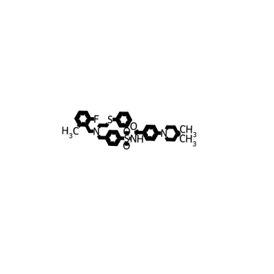 Cc1cccc(F)c1CN(CCSc1ccccc1)Cc1ccc(S(=O)(=O)NC(=O)c2ccc(N3CCC(C)(C)CC3)cc2)cc1